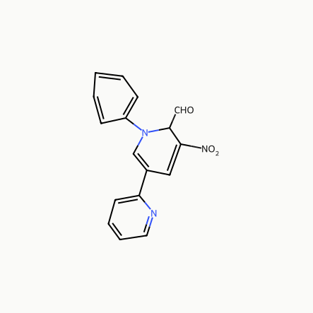 O=CC1C([N+](=O)[O-])=CC(c2ccccn2)=CN1c1ccccc1